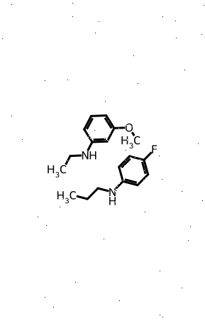 CCCNc1ccc(F)cc1.CCNc1cccc(OC)c1